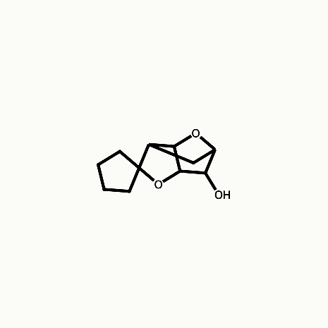 OC1C2CC3C(O2)C1OC31CCCC1